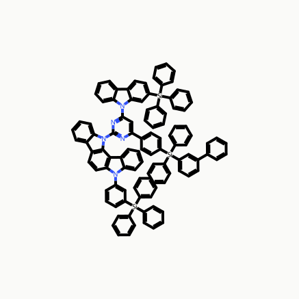 c1ccc(-c2cccc([Si](c3ccccc3)(c3ccccc3)c3ccc(-c4cc(-n5c6ccccc6c6ccc([Si](c7ccccc7)(c7ccccc7)c7ccccc7)cc65)nc(-n5c6ccccc6c6ccc7c(c8ccccc8n7-c7cccc([Si](c8ccccc8)(c8ccccc8)c8ccccc8)c7)c65)n4)cc3)c2)cc1